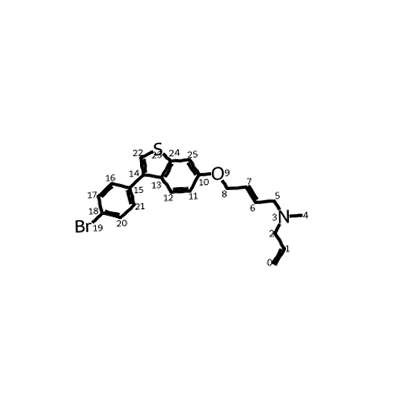 C=CCN(C)CC=CCOc1ccc2c(-c3ccc(Br)cc3)csc2c1